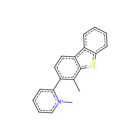 Cc1c(-c2cccc[n+]2C)ccc2c1sc1ccccc12